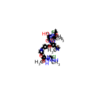 CNc1nc(Nc2ccc(OC3CCN(CC4CCC(COc5cc(-c6scnc6C)ccc5CNC(=O)[C@@H]5C[C@@H](O)CN5C(=O)[C@@H](NC(=O)C5(F)CC5)C(C)(C)C)CC4)CC3)cc2OC)ncc1Cl